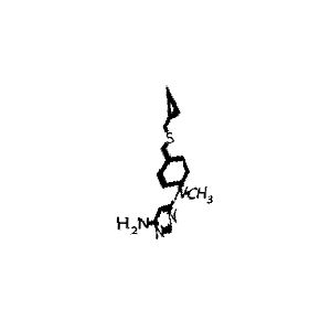 CN(c1cc(N)ncn1)C1CCC(CSCC2CC2)CC1